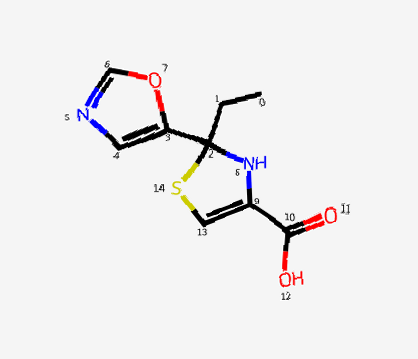 CCC1(c2cnco2)NC(C(=O)O)=CS1